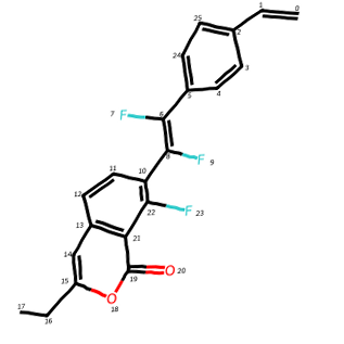 C=Cc1ccc(/C(F)=C(\F)c2ccc3cc(CC)oc(=O)c3c2F)cc1